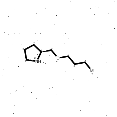 BrCCCOC[C@@H]1CCCN1